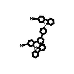 N#Cc1ccc(-c2cccc(-c3ccc(-n4c5ccccc5c5ccc(C#N)cc54)cc3)c2)c(-n2c3ccccc3c3ccccc32)c1